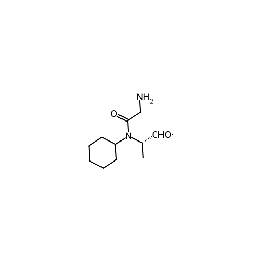 C[C@@H]([C]=O)N(C(=O)CN)C1CCCCC1